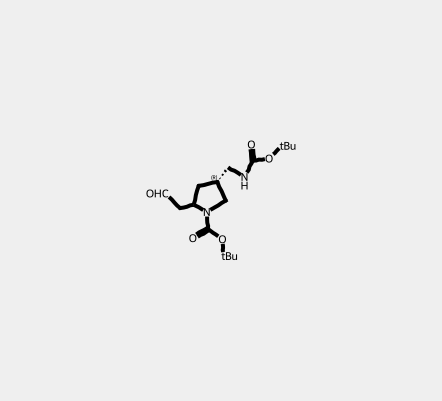 CC(C)(C)OC(=O)NC[C@H]1CC(CC=O)N(C(=O)OC(C)(C)C)C1